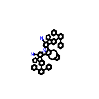 N#Cc1cc2c(c3c1C1(CCCC1)c1cc(-c4c(-c5ccccc5)cccc4-c4ccccc4)ccc1-3)c1c3cc(c4c5c6c(c(C#N)cc5n2c14)C1(CCCC1)c1cc(-c2c(-c4ccccc4)cccc2-c2ccccc2)ccc1-6)CCc1cccc(c1)CC3